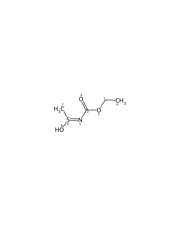 CCOC(=O)/N=S(\C)O